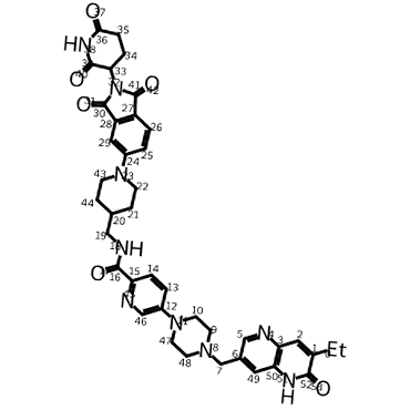 CCc1cc2ncc(CN3CCN(c4ccc(C(=O)NCC5CCN(c6ccc7c(c6)C(=O)N(C6CCC(=O)NC6=O)C7=O)CC5)nc4)CC3)cc2[nH]c1=O